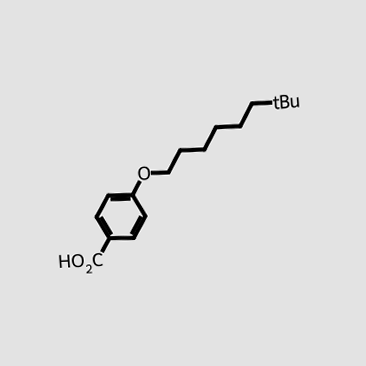 CC(C)(C)CCCCCCOc1ccc(C(=O)O)cc1